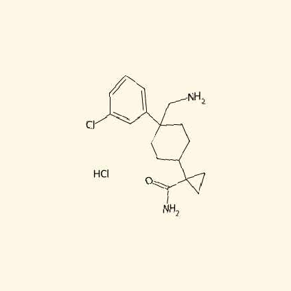 Cl.NCC1(c2cccc(Cl)c2)CCC(C2(C(N)=O)CC2)CC1